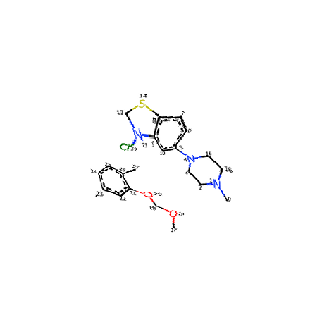 CN1CCN(c2ccc3c(c2)N(Cl)CS3)CC1.COCOc1ccccc1C